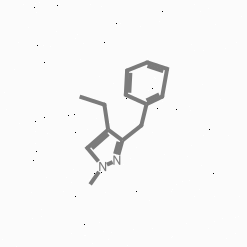 CCc1cn(C)nc1Cc1ccccc1